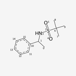 CC(NS(=O)(=O)C(C)(C)C)c1ccccc1